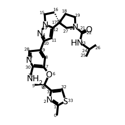 Cc1nc([C@@H](C)Oc2cc(-c3cc4n(n3)CC[C@@]43CCN(C(=O)NC(C)C)C3)cnc2N)cs1